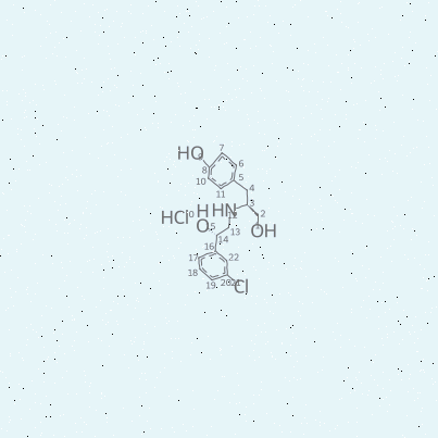 Cl.OC[C@H](Cc1ccc(O)cc1)NC[C@@H](O)c1cccc(Cl)c1